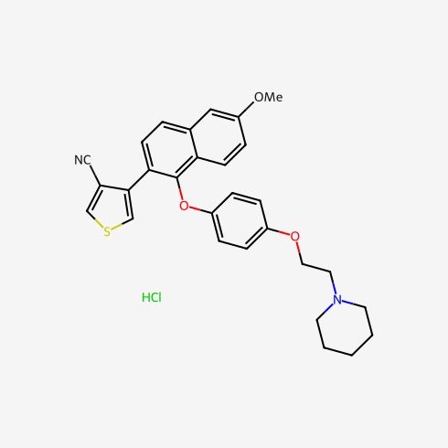 COc1ccc2c(Oc3ccc(OCCN4CCCCC4)cc3)c(-c3cscc3C#N)ccc2c1.Cl